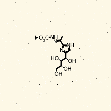 CC(=NNC(=O)O)c1nc([C@@H](O)[C@H](O)[C@H](O)CO)c[nH]1